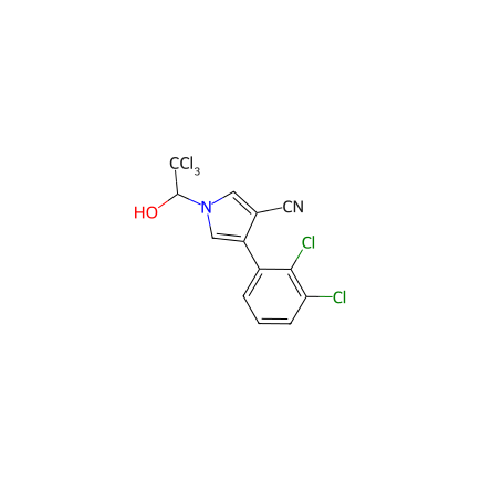 N#Cc1cn(C(O)C(Cl)(Cl)Cl)cc1-c1cccc(Cl)c1Cl